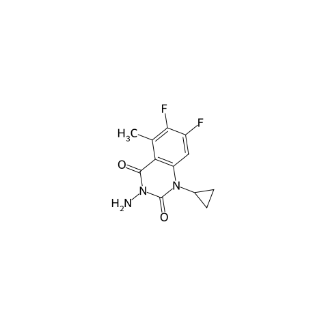 Cc1c(F)c(F)cc2c1c(=O)n(N)c(=O)n2C1CC1